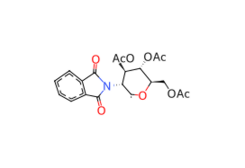 CC(=O)OC[C@H]1O[CH][C@H](N2C(=O)c3ccccc3C2=O)[C@@H](OC(C)=O)[C@@H]1OC(C)=O